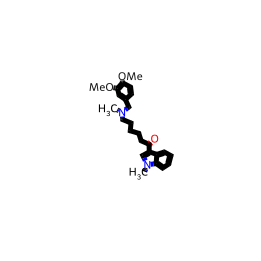 COc1ccc(CN(C)CCCCCC(=O)c2cn(C)c3ccccc23)cc1OC